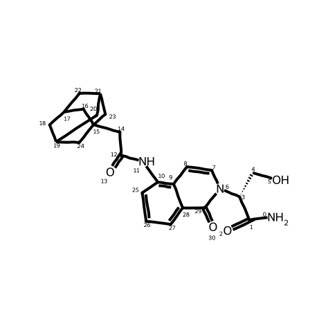 NC(=O)[C@@H](CO)n1ccc2c(NC(=O)CC34CC5CC(CC(C5)C3)C4)cccc2c1=O